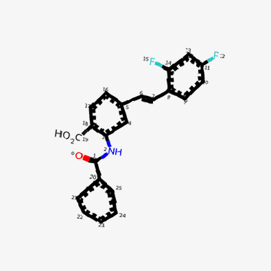 O=C(Nc1cc(C=Cc2ccc(F)cc2F)ccc1C(=O)O)c1ccccc1